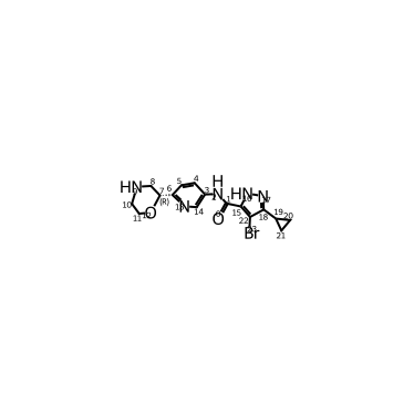 O=C(Nc1ccc([C@H]2CNCCO2)nc1)c1[nH]nc(C2CC2)c1Br